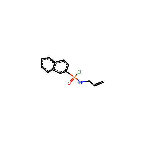 C=CCNP(=O)(Cl)c1ccc2ccccc2c1